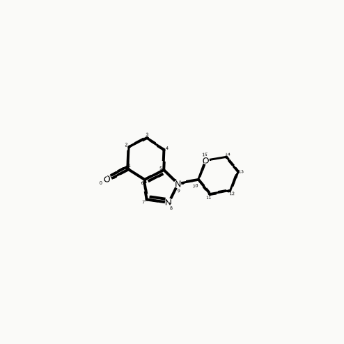 O=C1CCCc2c1cnn2C1CCCCO1